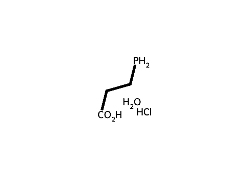 Cl.O.O=C(O)CCP